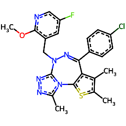 COc1ncc(F)cc1CN1N=C(c2ccc(Cl)cc2)c2c(sc(C)c2C)-n2c(C)nnc21